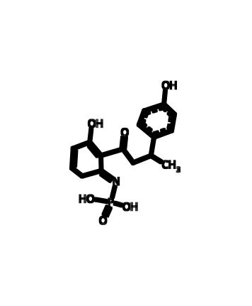 CC(CC(=O)C1=C(O)C=CCC1=NP(=O)(O)O)c1ccc(O)cc1